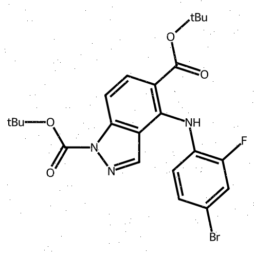 CC(C)(C)OC(=O)c1ccc2c(cnn2C(=O)OC(C)(C)C)c1Nc1ccc(Br)cc1F